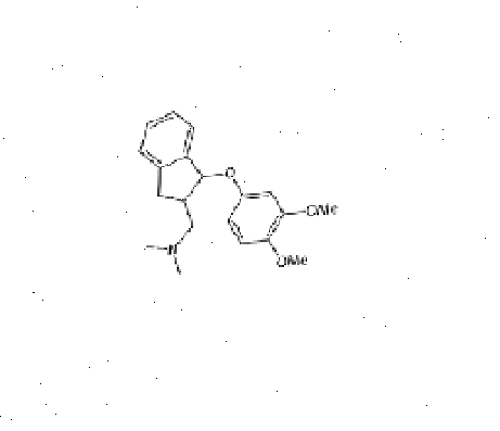 COc1ccc(OC2c3ccccc3CC2CN(C)C)cc1OC